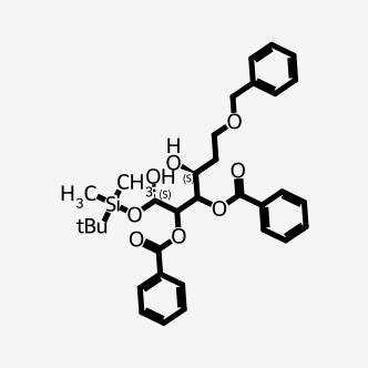 CC(C)(C)[Si](C)(C)O[C@H](O)C(OC(=O)c1ccccc1)C(OC(=O)c1ccccc1)[C@@H](O)CCOCc1ccccc1